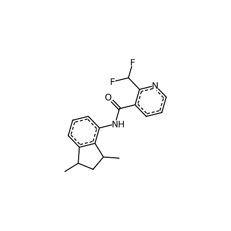 CC1CC(C)c2c(NC(=O)c3cccnc3C(F)F)cccc21